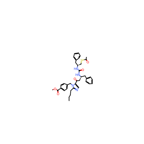 CCCCc1ncc(C(=O)C[C@H](Cc2ccccc2)NC(=O)N[C@H](CSC(C)=O)Cc2ccccc2)n1Cc1ccc(C(=O)OC)cc1